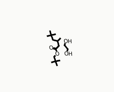 CC(CC(=O)OCC(C)(C)C)CC(C)(C)C.OCCO